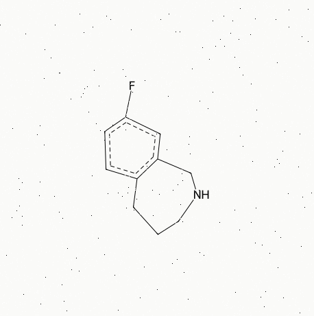 Fc1ccc2c(c1)CNCCC2